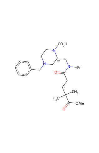 COC(=O)C(C)(C)CCC(=O)N(C[C@@H]1CN(Cc2ccccc2)CCN1C(=O)O)C(C)C